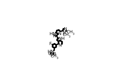 Cc1ncc(-c2ccc3[nH]nc(-c4cc5c(-c6cc(F)cc(CNS(C)(=O)=O)c6)nccc5[nH]4)c3n2)n1C